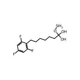 OC(O)(CCCCCCc1c(F)cc(F)cc1F)O[SiH3]